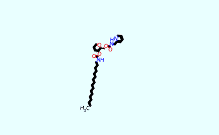 CCCCCCCCCCCCCCCCCNC(=O)O[C@@H]1CCCO[C@H]1COC(=O)NCc1ccccn1